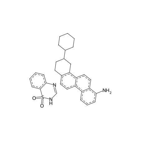 Nc1cccc2c1ccc1c3c(ccc12)CCC(C1CCCCC1)C3.O=S1(=O)NC=Nc2ccccc21